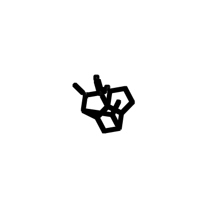 CC1C2CC3C1N(C)S(=O)(=O)C31CCCC21